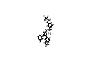 Cc1cccc(-c2nc(CNc3cncc(CNC(C)(C)C)c3)[nH]c2-c2ccc3ncnn3c2)n1